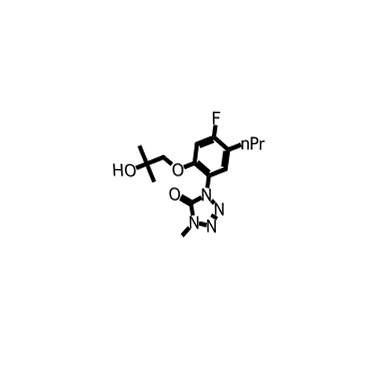 CCCc1cc(-n2nnn(C)c2=O)c(OCC(C)(C)O)cc1F